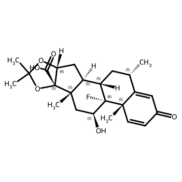 C[C@H]1C[C@H]2[C@@H]3C[C@H]4OC(C)(C)O[C@@]4(C(=O)O)[C@@]3(C)C[C@H](O)[C@]2(F)[C@@]2(C)C=CC(=O)C=C12